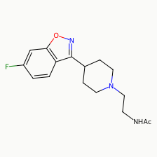 CC(=O)NCCN1CCC(c2noc3cc(F)ccc23)CC1